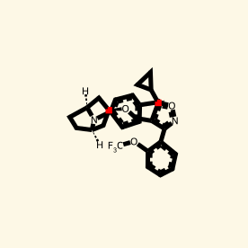 FC(F)(F)Oc1ccccc1-c1noc(C2CC2)c1CO[C@H]1C[C@H]2CC[C@@H](C1)N2c1ccc(Br)cc1